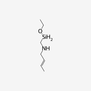 CC=CCNC[SiH2]OCC